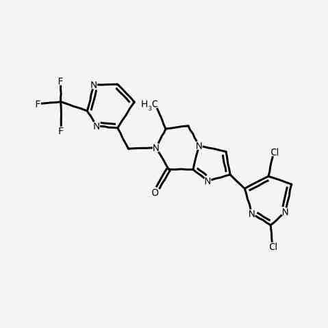 CC1Cn2cc(-c3nc(Cl)ncc3Cl)nc2C(=O)N1Cc1ccnc(C(F)(F)F)n1